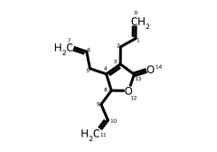 C=CCC1=C(CC=C)C(CC=C)OC1=O